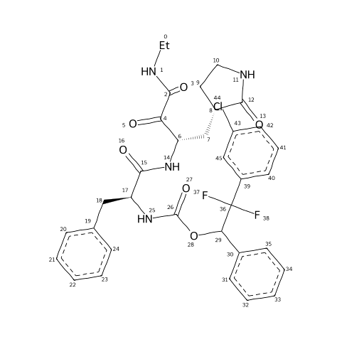 CCNC(=O)C(=O)[C@H](C[C@@H]1CCNC1=O)NC(=O)[C@H](Cc1ccccc1)NC(=O)OC(c1ccccc1)C(F)(F)c1cccc(Cl)c1